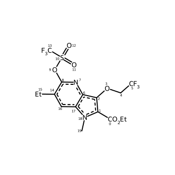 CCOC(=O)c1c(OCC(F)(F)F)c2nc(OS(=O)(=O)C(F)(F)F)c(CC)cc2n1C